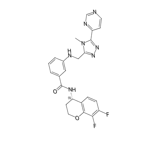 Cn1c(CNc2cccc(C(=O)N[C@H]3CCOc4c3ccc(F)c4F)c2)nnc1-c1ccncn1